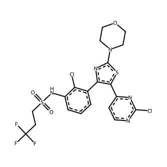 O=S(=O)(CCC(F)(F)F)Nc1cccc(-c2nc(N3CCOCC3)sc2-c2ccnc(Cl)n2)c1Cl